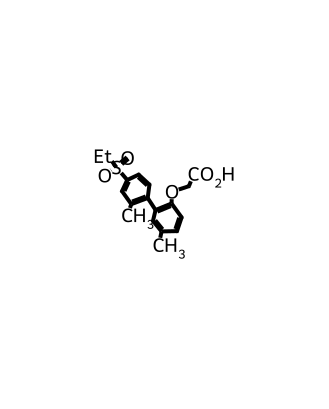 CCS(=O)(=O)c1ccc(-c2cc(C)ccc2OCC(=O)O)c(C)c1